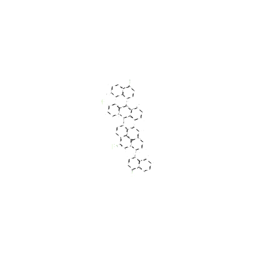 Fc1ccc2c(-c3ccc4c(F)cc5c(-c6ccc(F)c7ccccc67)ccc6ccc3c4c65)c3ccccc3c(-c3ccc(F)c4ccccc34)c2c1